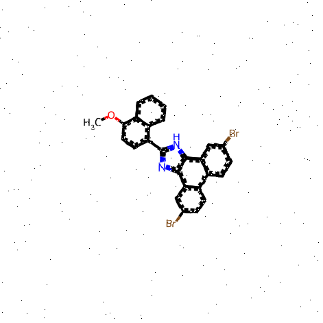 COc1ccc(-c2nc3c4cc(Br)ccc4c4ccc(Br)cc4c3[nH]2)c2ccccc12